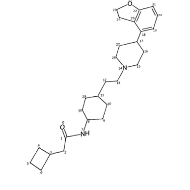 O=C(CC1CCC1)NC1CCC(CCN2CCC(c3cccc4c3CCO4)CC2)CC1